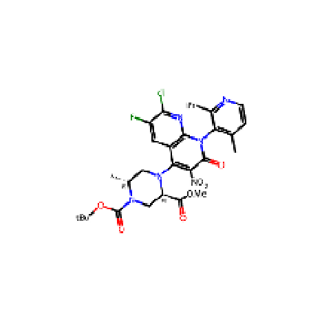 COC(=O)[C@H]1CN(C(=O)OC(C)(C)C)[C@H](C)CN1c1c([N+](=O)[O-])c(=O)n(-c2c(C)ccnc2C(C)C)c2nc(Cl)c(F)cc12